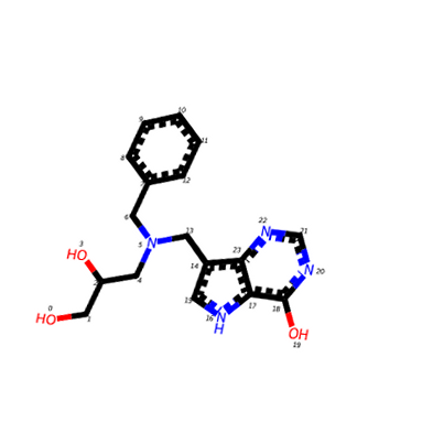 OCC(O)CN(Cc1ccccc1)Cc1c[nH]c2c(O)ncnc12